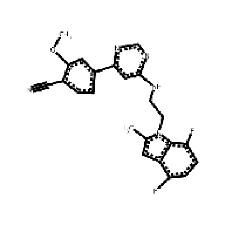 COc1cc(-c2cc(NCCn3c(C)cc4c(F)ccc(F)c43)ncn2)ccc1C#N